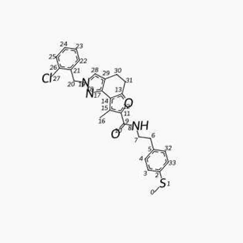 CSc1ccc(CCNC(=O)c2oc3c(c2C)-c2nn(Cc4ccccc4Cl)cc2CC3)cc1